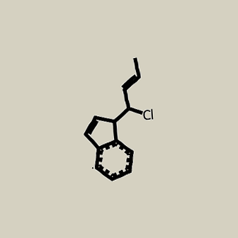 CC=CC(Cl)C1C=Cc2[c]cccc21